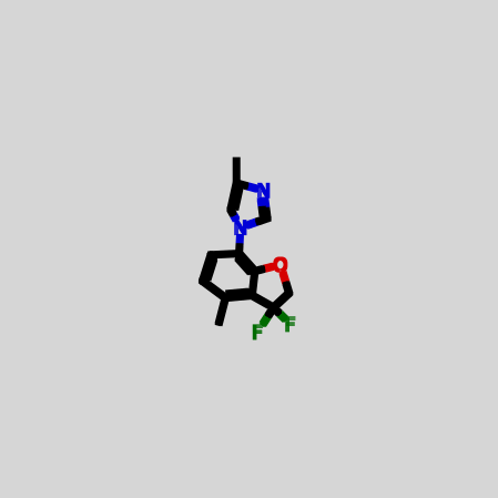 Cc1cn(-c2ccc(C)c3c2OCC3(F)F)cn1